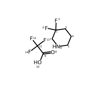 FC1(F)CCCNC1.O=C(O)C(F)(F)F